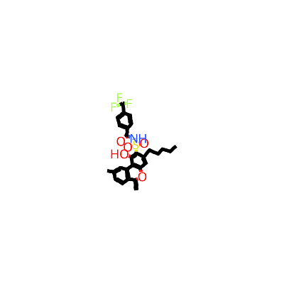 C=C1Oc2cc(CCCCC)c(S(=O)(=O)NC(=O)c3ccc(C(F)(F)F)cc3)c(O)c2-c2cc(C)ccc21